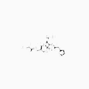 CC(=O)CC(=O)OCC1=C(C(=O)O)N2C(=O)[C@@H](NC(=O)Cc3cccs3)[C@H]2SC1.[NaH]